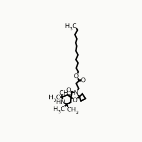 CCCCCCCCCCCCOC(=O)CCN1C(=O)C2(CC(C)(C)NC(C)(C)C2)OC12CCC2